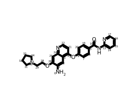 Nc1cc2c(Oc3ccc(C(=O)Nc4ccccn4)cc3)ccnc2cc1OCCN1CCCC1